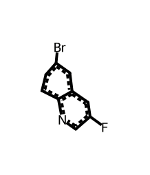 Fc1cnc2ccc(Br)cc2c1